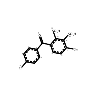 O=C(c1ccc(Cl)cc1)c1ccc(Cl)c(S(=O)(=O)O)c1S(=O)(=O)O